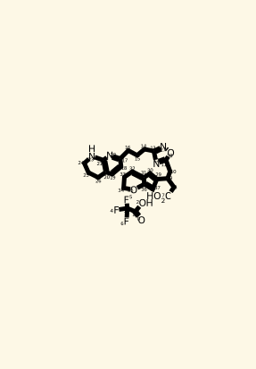 O=C(O)C(F)(F)F.O=C(O)CC(Cc1nc(CCCc2ccc3c(n2)NCCC3)no1)C1=CC2=CCCOC2=C1